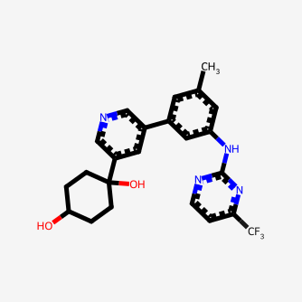 Cc1cc(Nc2nccc(C(F)(F)F)n2)cc(-c2cncc(C3(O)CCC(O)CC3)c2)c1